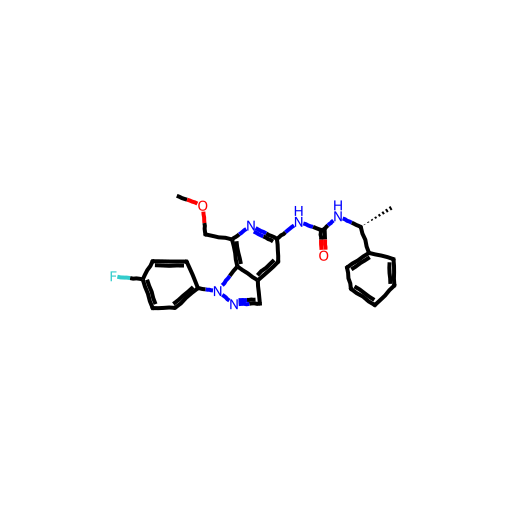 COCc1nc(NC(=O)N[C@H](C)c2ccccc2)cc2cnn(-c3ccc(F)cc3)c12